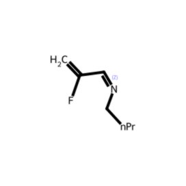 C=C(F)/C=N\CCCC